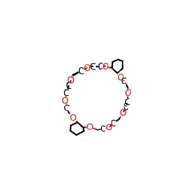 C1CCC2OCCOCCOCCOCCOC3CCCCC3OCCOCCOCCOCCOC2C1